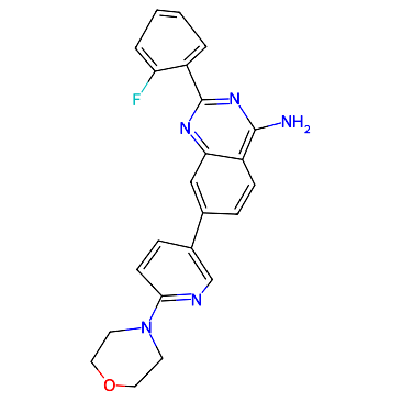 Nc1nc(-c2ccccc2F)nc2cc(-c3ccc(N4CCOCC4)nc3)ccc12